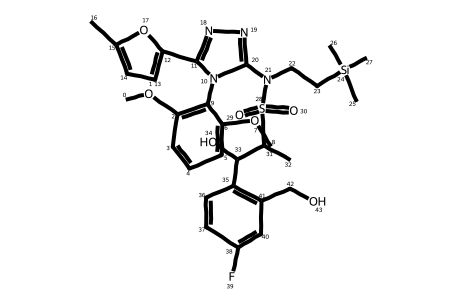 COc1cccc(OC)c1-n1c(-c2ccc(C)o2)nnc1N(CC[Si](C)(C)C)S(=O)(=O)C(C)C(O)c1ccc(F)cc1CO